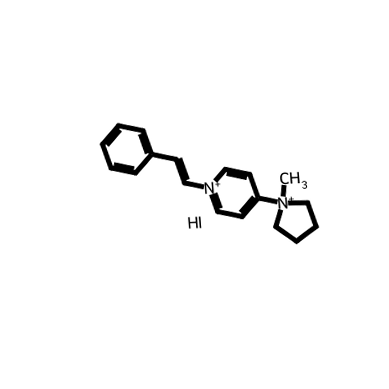 C[N+]1(c2cc[n+](C=Cc3ccccc3)cc2)CCCC1.I